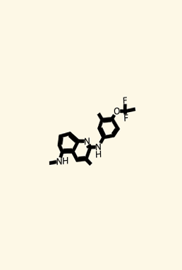 CNc1cccc2nc(Nc3ccc(OC(C)(F)F)c(C)c3)c(C)cc12